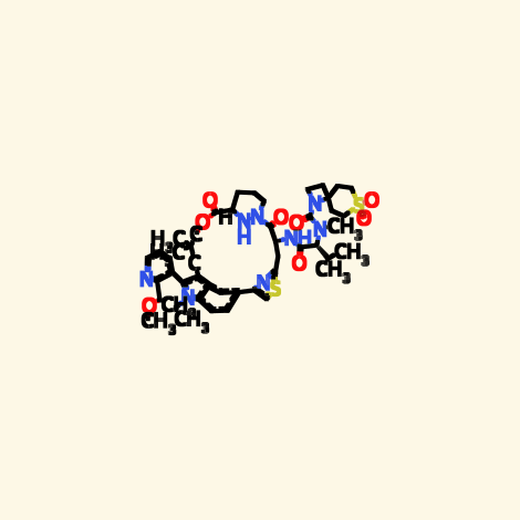 CCn1c(-c2cccnc2[C@H](C)OC)c2c3cc(ccc31)-c1csc(n1)C[C@H](NC(=O)[C@H](C(C)C)N(C)C(=O)N1CCC13CCS(=O)(=O)CC3)C(=O)N1CCC[C@H](N1)C(=O)OCC(C)(C)C2